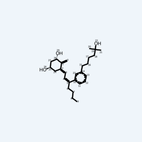 C=C1C(=CC=C(CCCC)c2cccc(CCCCC(C)(C)O)c2)C[C@@H](O)C[C@@H]1O